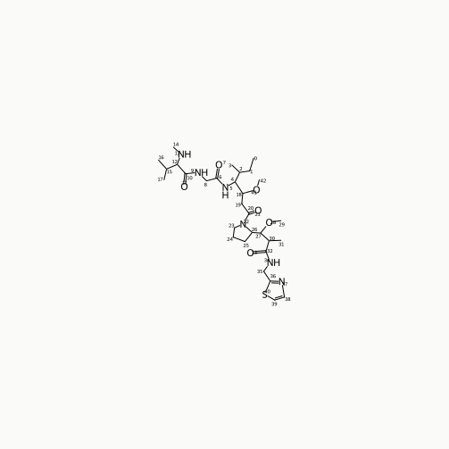 CCC(C)C(NC(=O)CNC(=O)C(NC)C(C)C)C(CC(=O)N1CCCC1C(OC)C(C)C(=O)NCc1nccs1)OC